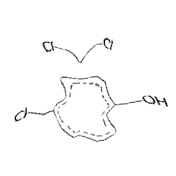 ClCCl.Oc1ccc(Cl)cc1